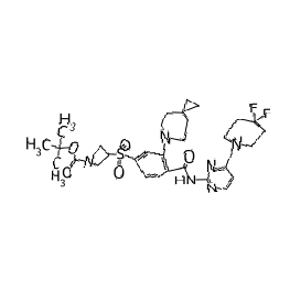 CC(C)(C)OC(=O)N1CC(S(=O)(=O)c2ccc(C(=O)Nc3nccc(N4CCC(F)(F)CC4)n3)c(N3CCC4(CC3)CC4)c2)C1